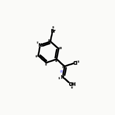 O/N=C(\Cl)c1ccnc(Br)c1